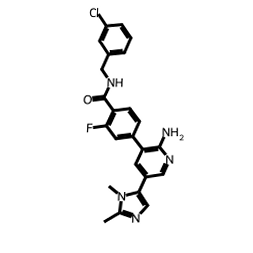 Cc1ncc(-c2cnc(N)c(-c3ccc(C(=O)NCc4cccc(Cl)c4)c(F)c3)c2)n1C